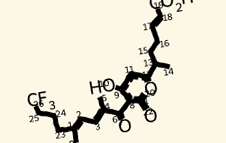 C/C(=C\C=C(/C)C(=O)c1c(O)cc(C(C)CC/C=C/C(=O)O)oc1=O)CCCC(F)(F)F